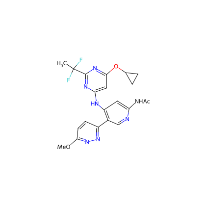 COc1ccc(-c2cnc(NC(C)=O)cc2Nc2cc(OC3CC3)nc(C(C)(F)F)n2)nn1